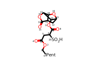 CCCC(C)COC(=O)CC(C(=O)OC1C2CC3C(=O)OC1C3O2)S(=O)(=O)O